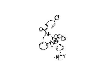 CN1CCN=C1c1cccc(C[N+]2(OC(=O)C(F)(F)F)C(=O)CN(C(=O)c3ccc(Cl)cc3)Cc3ccccc32)c1